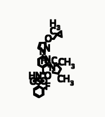 C[C@@H]1CN(c2nc(-n3ccc(OCC4(C)CC4)n3)ccc2C(=O)NS(=O)(=O)c2ccccc2F)C(C)(C)C1